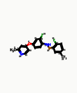 Cc1cc(Oc2ccc(NSc3cc(C(F)(F)F)ccc3F)c(F)c2)ccn1